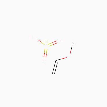 C=COC(C)=O.O=[SH](=O)O